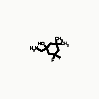 CC1(C)CC(F)(F)CC(O)(CN)C1